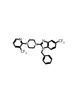 FC(F)(F)c1ccc2c(c1)nc(N1CCN(c3ncccc3C(F)(F)F)CC1)n2Cc1ccccc1